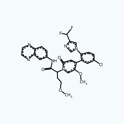 COCCC(C(=O)Nc1ccc2nccnc2c1)n1cc(OC)c(-c2cc(Cl)ccc2-n2cnc(C(F)F)c2)cc1=O